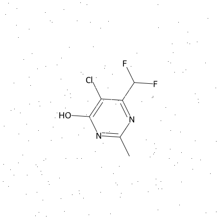 Cc1nc(O)c(Cl)c(C(F)F)n1